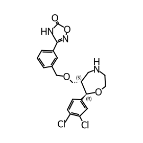 O=c1[nH]c(-c2cccc(COC[C@@H]3CNCCO[C@H]3c3ccc(Cl)c(Cl)c3)c2)no1